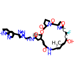 CC1=C\C(O)CC(F)Cc2nc(co2)C(=O)N2CCCC2C(=O)OC(C(C)C)C(CC(=O)NCCn2cc(-c3cnc4[nH]ccc4c3)nn2)/C=C/C(=O)NC\C=C\1